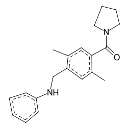 Cc1cc(C(=O)N2CCCC2)c(C)cc1CNc1ccccc1